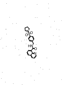 O=C(NCc1ccc(S(=O)(=O)N2CCCC2)cc1)c1cccc2cccnc12